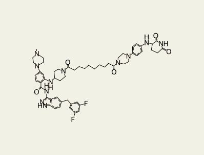 CN1CCN(c2ccc(C(=O)Nc3n[nH]c4ccc(Cc5cc(F)cc(F)c5)cc34)c(NC3CCN(C(=O)CCCCCCCCC(=O)N4CCN(c5ccc(NC6CCC(=O)NC6=O)cc5)CC4)CC3)c2)CC1